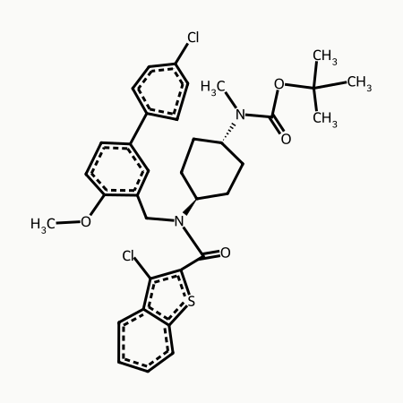 COc1ccc(-c2ccc(Cl)cc2)cc1CN(C(=O)c1sc2ccccc2c1Cl)[C@H]1CC[C@H](N(C)C(=O)OC(C)(C)C)CC1